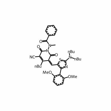 CCCCC1=C(C#N)C(=O)N(N(C)C(=O)c2ccccc2)C(=O)/C1=C\c1sc(N(CCCC)CCCC)nc1-c1c(OC)cccc1OC